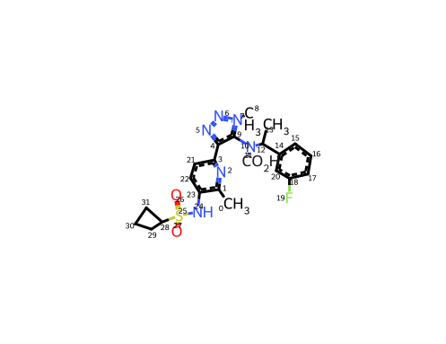 Cc1nc(-c2nnn(C)c2N(C(=O)O)C(C)c2cccc(F)c2)ccc1NS(=O)(=O)C1CCC1